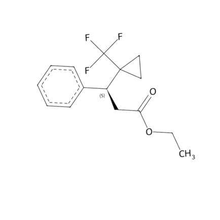 CCOC(=O)C[C@@H](c1ccccc1)C1(C(F)(F)F)CC1